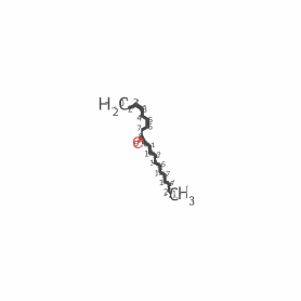 C=C/C=C\C/C=C\C[C@@H]1OC1CCCCCCCCCCC